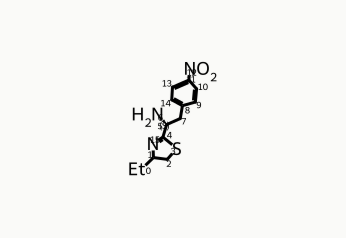 CCC1CSC([C@@H](N)Cc2ccc([N+](=O)[O-])cc2)=N1